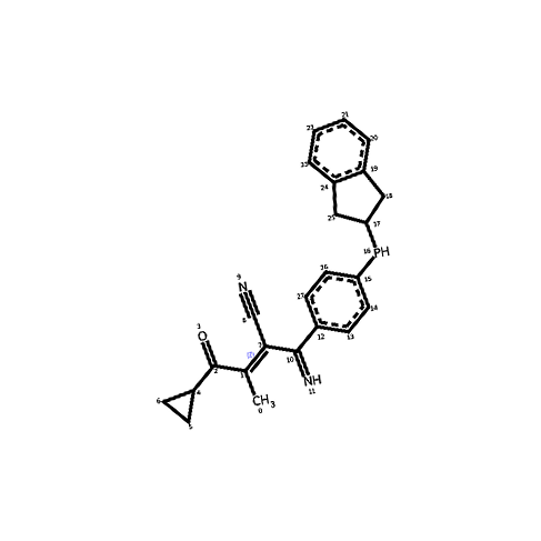 C/C(C(=O)C1CC1)=C(/C#N)C(=N)c1ccc(PC2Cc3ccccc3C2)cc1